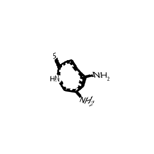 Nc1c[nH]c(=S)cc1N